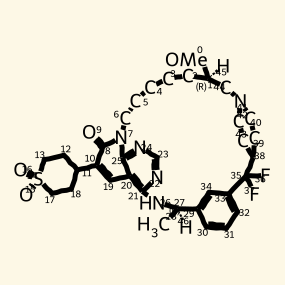 CO[C@@H]1CCCCCn2c(=O)c(C3CCS(=O)(=O)CC3)cc3c(ncnc32)N[C@H](C)c2cccc(c2)C(F)(F)C2CCN(CC2)C1